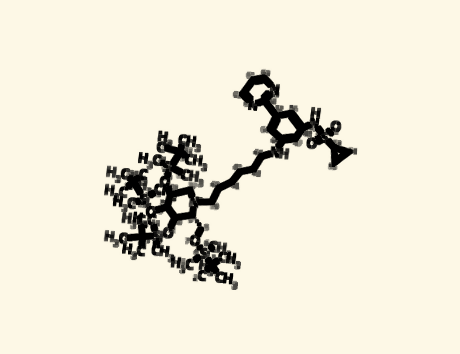 CC(C)(C)[Si](C)(C)OC[C@@H]1C(O[Si](C)(C)C(C)(C)C)C(O[Si](C)(C)C(C)(C)C)C(O[Si](C)(C)C(C)(C)C)CN1CCCCCCNc1cc(NS(=O)(=O)C2CC2)cc(-c2ncccn2)c1